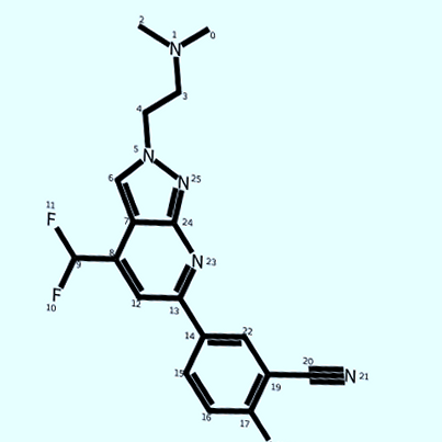 CN(C)CCn1cc2c(C(F)F)cc(-c3ccc(N)c(C#N)c3)nc2n1